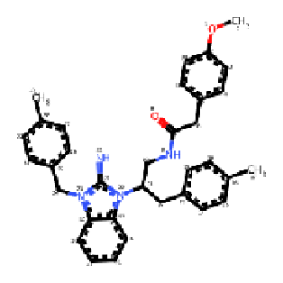 COc1ccc(CC(=O)NCC(Cc2ccc(C)cc2)n2c(=N)n(Cc3ccc(C)cc3)c3ccccc32)cc1